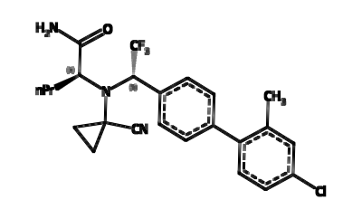 CCC[C@@H](C(N)=O)N([C@@H](c1ccc(-c2ccc(Cl)cc2C)cc1)C(F)(F)F)C1(C#N)CC1